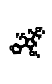 Cn1nc(C(F)(F)C(F)(F)F)c(C(F)(F)F)c1-c1ccoc1